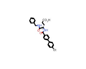 CCc1ccc(-c2ccc(C(=O)N[C@@H](CCC(=O)O)C(=O)NCc3ccccc3)cc2)cc1